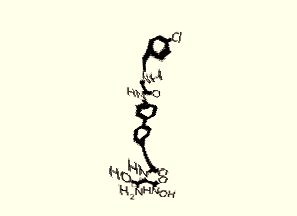 N[C@@H](O)[C@H](NC(=O)c1ccc(-c2ccc(NC(=O)CNCc3ccc(Cl)cc3)cc2)cc1)C(=O)NO